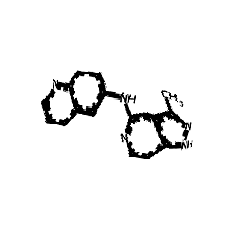 Cc1n[nH]c2ccnc(Nc3ccc4ncccc4c3)c12